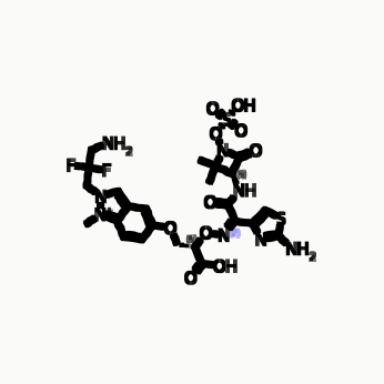 C[n+]1c2ccc(OC[C@H](O/N=C(\C(=O)N[C@@H]3C(=O)N(OS(=O)(=O)O)C3(C)C)c3csc(N)n3)C(=O)O)cc2cn1CC(F)(F)CN